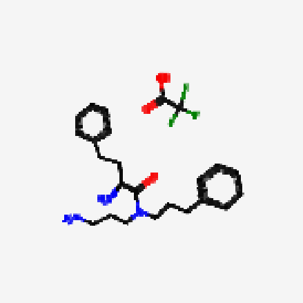 NCCCN(CCCc1ccccc1)C(=O)[C@@H](N)CCc1ccccc1.O=C(O)C(F)(F)F